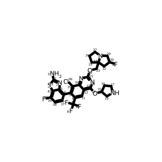 Nc1nc2c(-c3c(C(F)(F)F)cc4c(OC5CCNC5)nc(OCC56CCCN5CC(F)C6)nc4c3Cl)ccc(F)c2s1